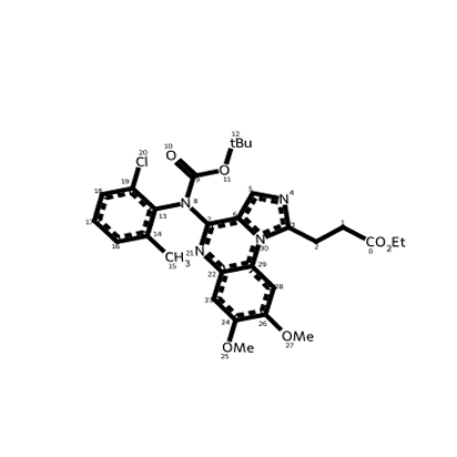 CCOC(=O)CCc1ncc2c(N(C(=O)OC(C)(C)C)c3c(C)cccc3Cl)nc3cc(OC)c(OC)cc3n12